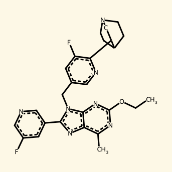 CCOc1nc(C)c2nc(-c3cncc(F)c3)n(Cc3cnc(C4CN5CCC4CC5)c(F)c3)c2n1